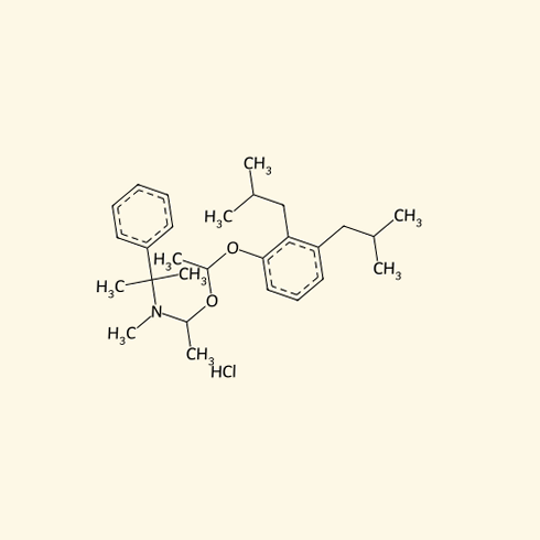 CC(C)Cc1cccc(OC(C)OC(C)N(C)C(C)(C)c2ccccc2)c1CC(C)C.Cl